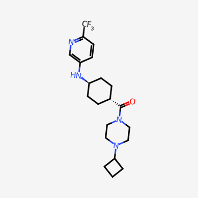 O=C([C@H]1CC[C@H](Nc2ccc(C(F)(F)F)nc2)CC1)N1CCN(C2CCC2)CC1